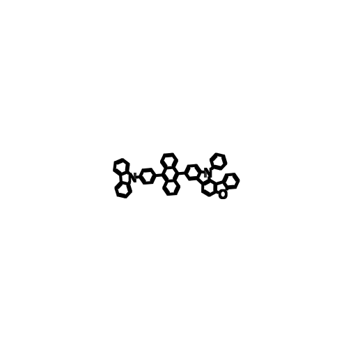 c1ccc(-n2c3ccc(-c4c5ccccc5c(-c5ccc(-n6c7ccccc7c7ccccc76)cc5)c5ccccc45)cc3c3ccc4oc5ccccc5c4c32)cc1